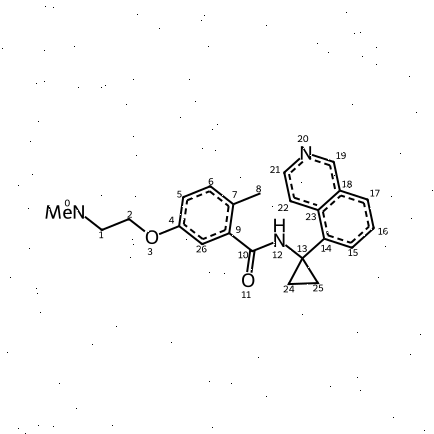 CNCCOc1ccc(C)c(C(=O)NC2(c3cccc4cnccc34)CC2)c1